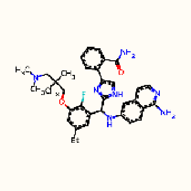 CCc1cc(OCC(C)(C)CN(C)C)c(F)c(C(Nc2ccc3c(N)nccc3c2)c2nc(-c3ccccc3C(N)=O)c[nH]2)c1